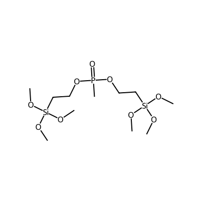 CO[Si](CCOP(C)(=O)OCC[Si](OC)(OC)OC)(OC)OC